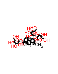 C=C1C[C@@]23CC[C@H]4[C@@](C)(CCC[C@@]4(C)C(=O)O[C@@H]4OC(CO)[C@@H](O)[C@@H](O)C4O)[C@@H]2CC[C@@]1(O[C@@H]1OC(CO)[C@@H](O)[C@@H](O)C1O[C@@H]1OC(CO)[C@@H](O)[C@@H](O)C1O)C3